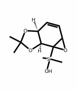 CC1(C)O[C@H]2C=CC3OC3([Si](C)(C)O)[C@H]2O1